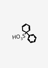 O=S(=O)(O)C1(c2ccccc2)C=CC=CC1